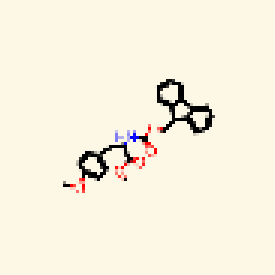 COC(=O)C(Cc1ccc(OC)cc1)NC(=O)OCC1c2ccccc2-c2ccccc21